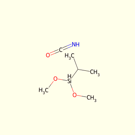 CO[SiH](OC)C(C)C.N=C=O